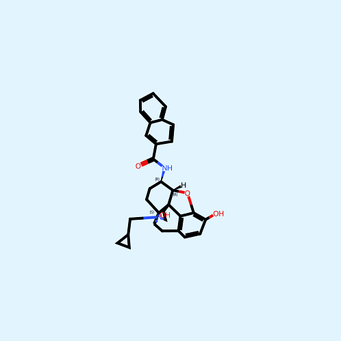 O=C(N[C@@H]1CC[C@@]2(O)C3Cc4ccc(O)c5c4C2(CCN3CC2CC2)[C@H]1O5)c1ccc2ccccc2c1